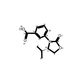 CC(C)[C@H]1COC(=O)N1c1cccc(C(=O)O)c1